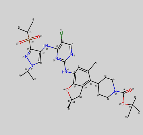 Cc1cc(Nc2ncc(Cl)c(Nc3cn(C(C)C)nc3S(=O)(=O)C(C)C)n2)c2c(c1C1CCN(C(=O)OC(C)(C)C)CC1)C[C@@H](C)O2